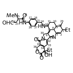 CCC1C=C2N=C3C(=C4C2C(CC[C@@H]4NCc2ccc(NC(=O)C(CC=O)NC)cc2)C1C)Cn1c3cc2c(c1=O)COC(=O)[C@]2(O)CC